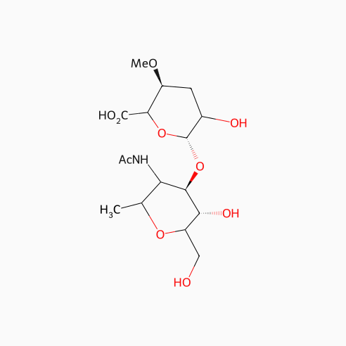 CO[C@H]1CC(O)[C@H](O[C@@H]2C(NC(C)=O)C(C)OC(CO)[C@H]2O)OC1C(=O)O